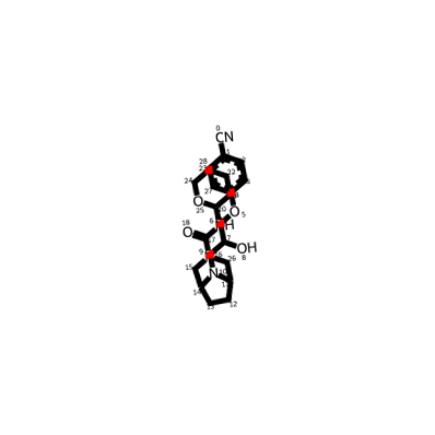 N#Cc1ccc(OCC(O)CN2C3CCC2CN(C(=O)NC2CCCCO2)C3)cc1